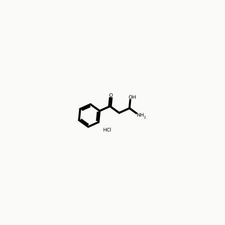 Cl.NC(O)CC(=O)c1ccccc1